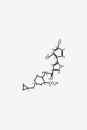 O=C(NC1CCN(CC2CC2)CC1C(=O)O)c1cc(-c2ccc(Cl)cc2Cl)on1